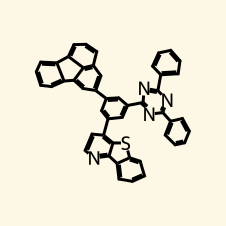 c1ccc(-c2nc(-c3ccccc3)nc(-c3cc(-c4cc5c6c(cccc6c4)-c4ccccc4-5)cc(-c4ccnc5c4sc4ccccc45)c3)n2)cc1